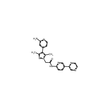 Cc1nn(CC(=O)Nc2ccc(-c3cnccn3)cn2)c(C)c1-c1ccnc(N)c1